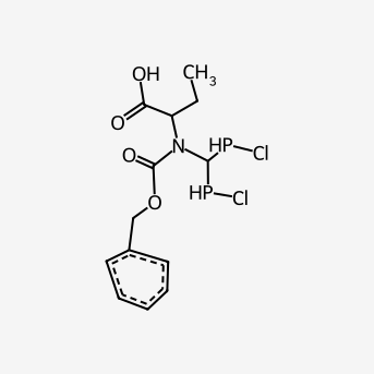 CCC(C(=O)O)N(C(=O)OCc1ccccc1)C(PCl)PCl